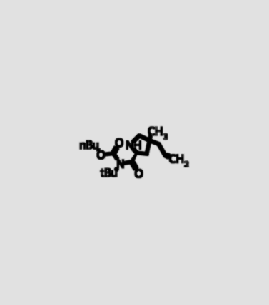 C=CCC1(C)CN[C@H](C(=O)N(C(=O)OCCCC)C(C)(C)C)C1